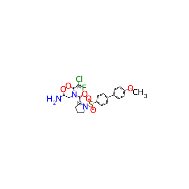 COc1ccc(-c2ccc(S(=O)(=O)N3CCC[C@H]3C(=O)N(CC(N)=O)C(=O)[C@H](F)Cl)cc2)cc1